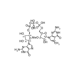 CO[C@H]1[C@H](O)[C@H](n2c[n+](C)c3c(=O)[nH]c(N)nc32)O[C@@H]1COP(=O)(O)OP(=O)(O)OP(=O)(O)OC[C@H]1O[C@@H](n2cnc3c(=O)[nH]c(N)nc32)[C@H](O)[C@@H]1O